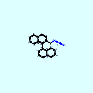 [N-]=[N+]=NCc1ccc2ccccc2c1-c1cccc2ccccc12